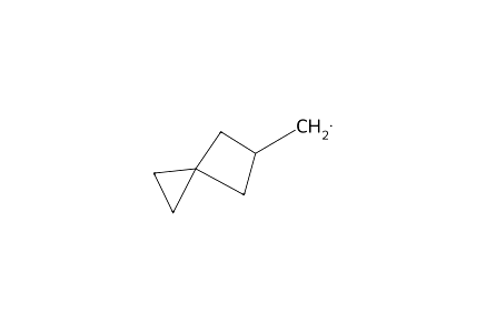 [CH2]C1CC2(CC2)C1